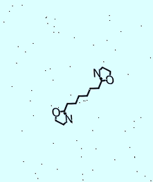 C(CCCC1=NCCO1)CCC1=NCCO1